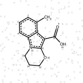 Cc1cccc2c1c(C(=O)O)c1n2CCCO1